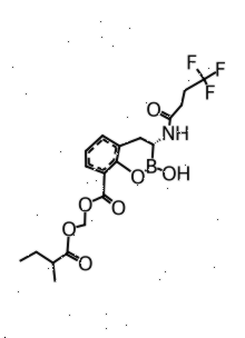 CCC(C)C(=O)OCOC(=O)c1cccc2c1OB(O)[C@@H](NC(=O)CCC(F)(F)F)C2